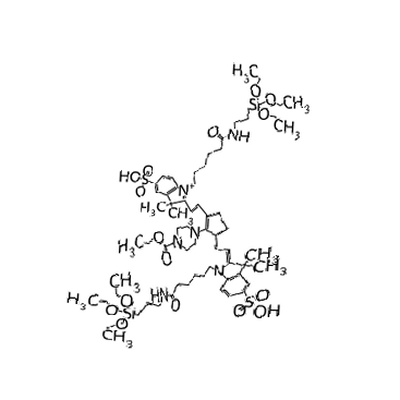 CCOC(=O)N1CCN(C2=C(/C=C/C3=[N+](CCCCCC(=O)NCCC[Si](OCC)(OCC)OCC)c4ccc(S(=O)(=O)O)cc4C3(C)C)CC/C2=C\C=C2/N(CCCCCC(=O)NCCC[Si](OCC)(OCC)OCC)c3ccc(S(=O)(=O)O)cc3C2(C)C)CC1